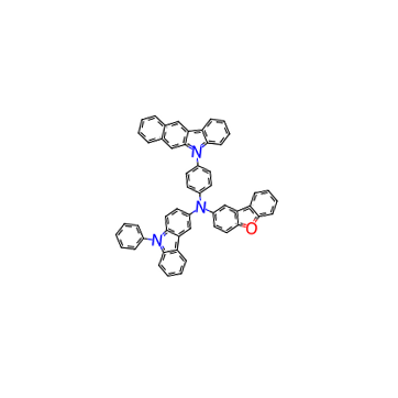 c1ccc(-n2c3ccccc3c3cc(N(c4ccc(-n5c6ccccc6c6cc7ccccc7cc65)cc4)c4ccc5oc6ccccc6c5c4)ccc32)cc1